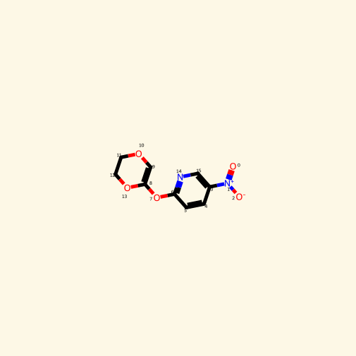 O=[N+]([O-])c1ccc(OC2=COCCO2)nc1